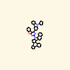 c1ccc(-n2c3ccccc3c3cc(-c4nc(-n5c6ccc7c8ccccc8c8ccccc8c7c6c6ccc7ccccc7c65)nc5oc6ccccc6c45)ccc32)cc1